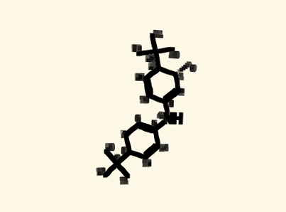 C[C@@H]1C=C(NC2=CCC(C(C)(C)C)C=C2)C=CC1C(C)(C)C